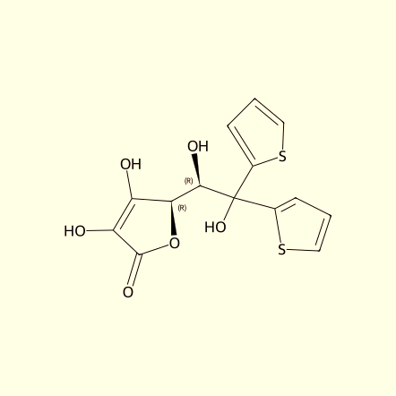 O=C1O[C@H]([C@@H](O)C(O)(c2cccs2)c2cccs2)C(O)=C1O